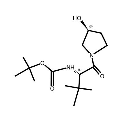 CC(C)(C)OC(=O)N[C@H](C(=O)N1CC[C@H](O)C1)C(C)(C)C